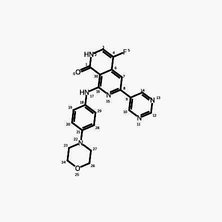 O=c1[nH]cc(F)c2cc(-c3cncnc3)nc(Nc3ccc(N4CCOCC4)cc3)c12